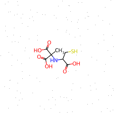 CC(NC(CS)C(=O)O)(C(=O)O)C(=O)O